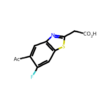 CC(=O)c1cc2nc(CC(=O)O)sc2cc1F